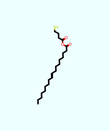 CCCCCCCCC=CCCCCCCCC(=O)OC(=O)CCCS